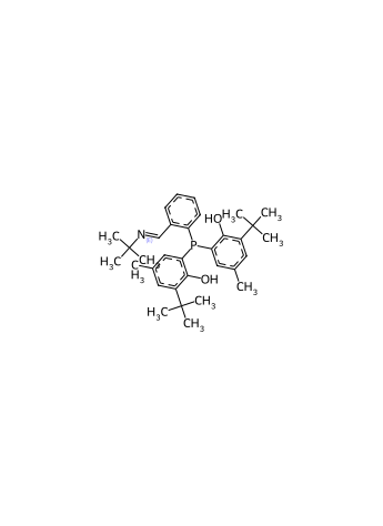 Cc1cc(P(c2ccccc2/C=N/C(C)(C)C)c2cc(C)cc(C(C)(C)C)c2O)c(O)c(C(C)(C)C)c1